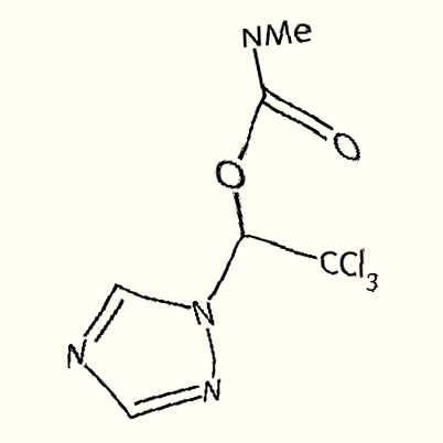 CNC(=O)OC(n1cncn1)C(Cl)(Cl)Cl